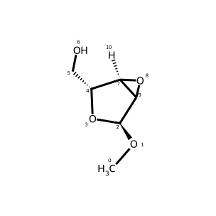 CO[C@H]1O[C@H](CO)[C@H]2OC12